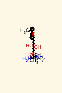 CCc1ccccc1-c1cc2ccc(CCCC(O)C(O)CCCOC(=O)C(CC(C)(C)N)C(C)(C)N)cc2o1